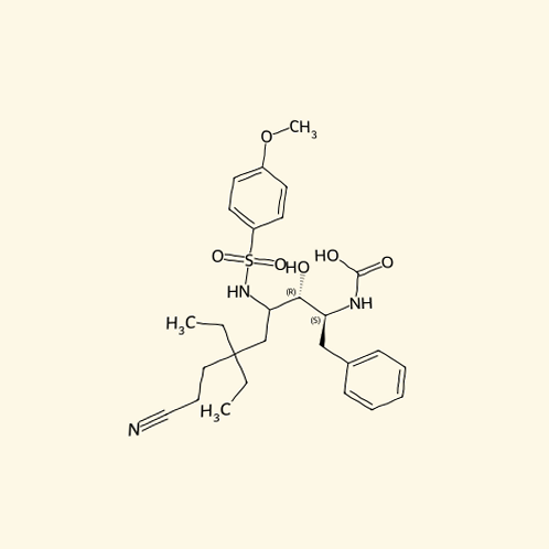 CCC(CC)(CCC#N)CC(NS(=O)(=O)c1ccc(OC)cc1)[C@H](O)[C@H](Cc1ccccc1)NC(=O)O